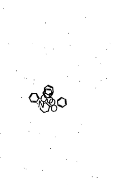 c1ccc(OC2(Oc3ccccc3)CCC[N]C2(Oc2ccccc2)Oc2ccccc2)cc1